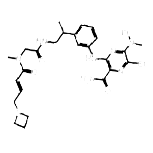 CCc1nc(C(N)=O)c(Nc2cccc(C(C)CNC(=O)CN(C)C(=O)/C=C/CN3CCC3)c2)nc1N(C)CC